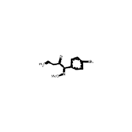 C=CCC(=O)C(=NOC)c1ccc(C(C)(C)C)cc1